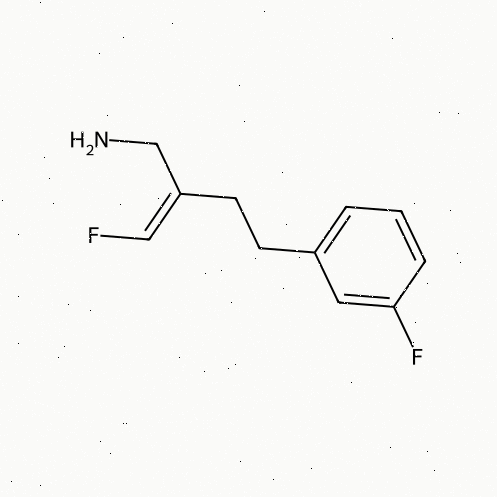 NCC(=CF)CCc1cccc(F)c1